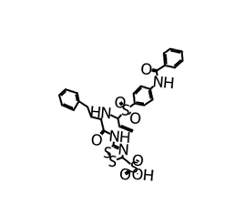 C=CC(NC(CCc1ccccc1)C(=O)NC1=NC(S(=O)(=O)O)SS1)S(=O)(=O)c1ccc(NC(=O)c2ccccc2)cc1